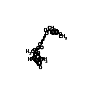 COc1ccc2cc([C@H](C)C(=O)OCCCCCCOC(=O)OCC(=O)[C@]34O[C@@]35C[C@H](O)[C@]3(F)[C@@]6(C)C=CC(=O)C=C6CC[C@@]3(N=N)C5C[C@H]4C)ccc2c1